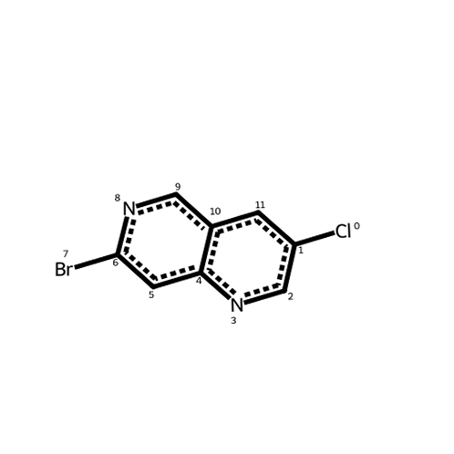 Clc1cnc2cc(Br)ncc2c1